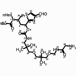 CCCCCCN(C(=O)CCCC)C(CC(OC(=O)NCC(C)(C)COCC(C)(C)COCNC(=O)CN)c1nc(C=O)cs1)C(C)C